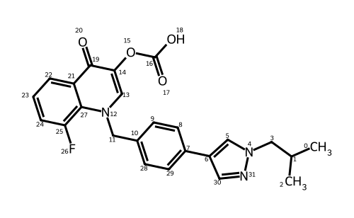 CC(C)Cn1cc(-c2ccc(Cn3cc(OC(=O)O)c(=O)c4cccc(F)c43)cc2)cn1